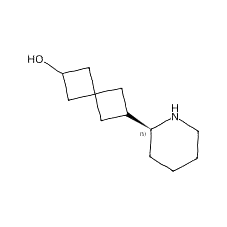 OC1CC2(C1)CC([C@@H]1CCCCN1)C2